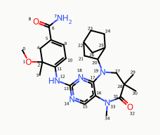 COC1(C)CC(C(N)=O)=CC=C1Nc1ncc2c(n1)N(C1CC3CCC1C3)CC(C)(C)C(=O)N2C